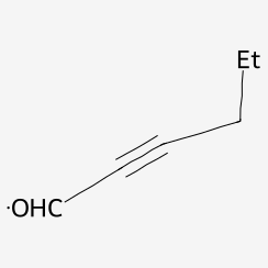 CCCC#C[C]=O